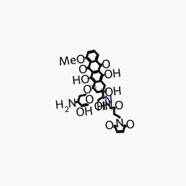 COc1cccc2c1C(=O)c1c(O)c3c(c(O)c1C2=O)C[C@@](O)(/C(CO)=N/NC(=O)CCN1C(=O)C=CC1=O)C[C@@H]3OC1CC(N)C(O)=CO1